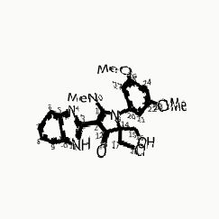 CNC1=C(c2nc3ccccc3[nH]2)C(=O)C(CO)(CCl)N1c1cc(OC)cc(OC)c1